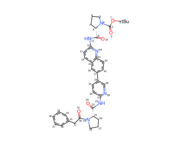 CC(C)(C)OC(=O)N1CCC[C@H]1C(=O)Nc1ccc2cc(-c3ccc(NC(=O)[C@@H]4CCCN4C(=O)Cc4ccccc4)nc3)ccc2n1